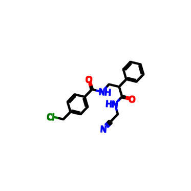 N#CCNC(=O)C(CNC(=O)c1ccc(CCl)cc1)c1ccccc1